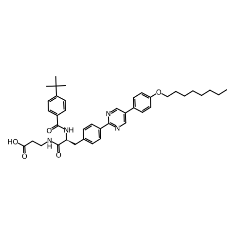 CCCCCCCCOc1ccc(-c2cnc(-c3ccc(C[C@H](NC(=O)c4ccc(C(C)(C)C)cc4)C(=O)NCCC(=O)O)cc3)nc2)cc1